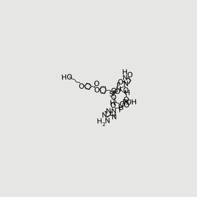 Nc1ncnc2c1ncn2[C@@H]1O[C@@H]2COP(=O)(SCc3ccc(OC(=O)c4ccc(OCCCCO)cc4)cc3)O[C@H]3[C@@H](F)[C@H](n4ccc(=O)[nH]c4=O)O[C@@H]3COP(=O)(O)O[C@H]2[C@H]1F